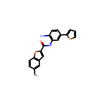 Bc1ccc2sc(C(=O)Nc3cc(-c4cccs4)ccc3N)cc2c1